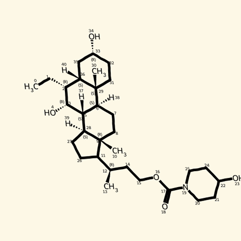 CC[C@H]1[C@@H](O)[C@@H]2[C@H](CC[C@]3(C)C([C@H](C)CCOC(=O)N4CCC(O)CC4)CC[C@@H]23)[C@@]2(C)CC[C@@H](O)C[C@@H]12